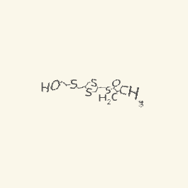 C=C(C)C(=O)SCC1CSC(CSCCO)CS1